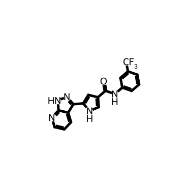 O=C(Nc1cccc(C(F)(F)F)c1)c1c[nH]c(-c2n[nH]c3ncccc23)c1